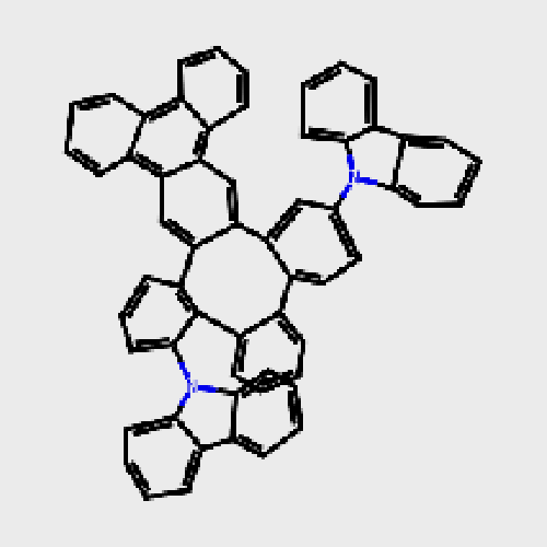 c1ccc2c(c1)-c1ccc(-n3c4ccccc4c4ccccc43)cc1-c1cc3c4ccccc4c4ccccc4c3cc1-c1cccc(-n3c4ccccc4c4ccccc43)c1-2